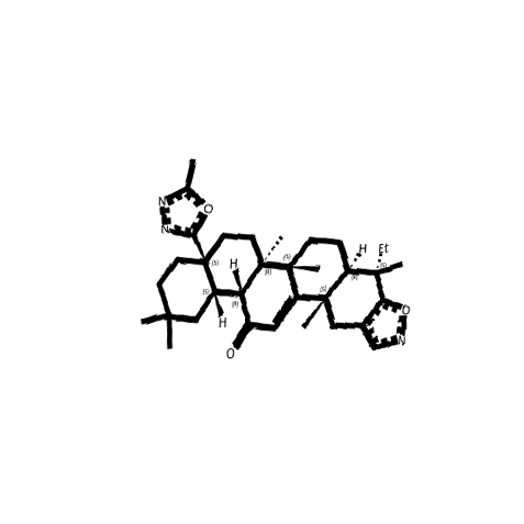 CC[C@]1(C)c2oncc2C[C@]2(C)C3=CC(=O)[C@@H]4[C@@H]5CC(C)(C)CC[C@]5(c5nnc(C)o5)CC[C@@]4(C)[C@]3(C)CC[C@H]21